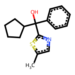 Cc1cnc(C(O)(c2ccccc2)C2CCCC2)s1